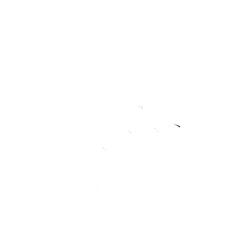 C[C@@H](NC(=N)N1CCN(C(=O)C(O)(c2ccccc2)C2CCCC2)CC1)c1ccccc1